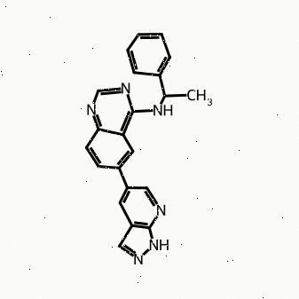 CC(Nc1ncnc2ccc(-c3cnc4[nH]ncc4c3)cc12)c1ccccc1